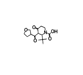 CC(C)(C)C1C(C(=O)C2CCOC2)C(=O)CCN1C(=O)O